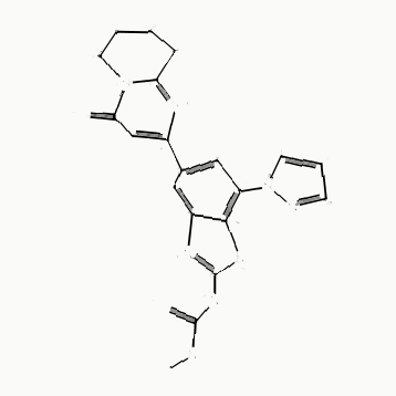 CCNC(=O)Nc1nc2cc(-c3cc(=O)n4c(n3)CCCC4)cc(-n3cccn3)c2[nH]1